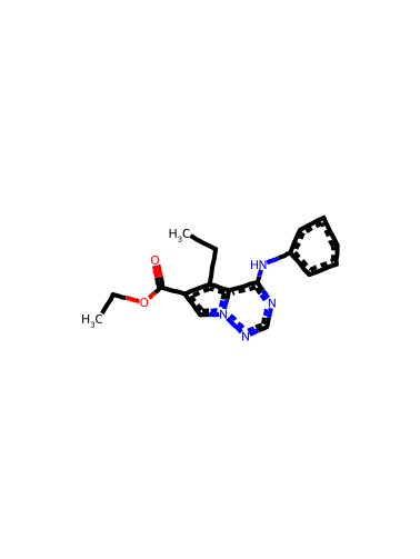 CCOC(=O)c1cn2ncnc(Nc3ccccc3)c2c1CC